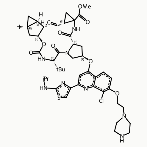 C=C[C@@H]1CC1(NC(=O)[C@@H]1C[C@@H](Oc2cc(-c3csc(NC(C)C)n3)nc3c(Cl)c(OCCN4CCNCC4)ccc23)CN1C(=O)[C@@H](NC(=O)O[C@@H]1C[C@@H]2C[C@@H]2C1)C(C)(C)C)C(=O)OC